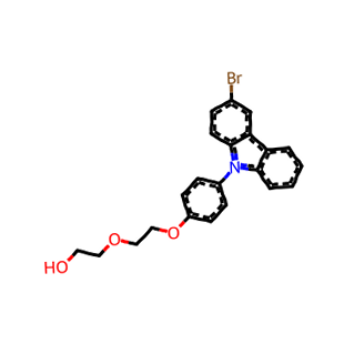 OCCOCCOc1ccc(-n2c3ccccc3c3cc(Br)ccc32)cc1